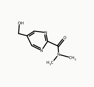 CN(C)C(=O)c1ncc(CO)cn1